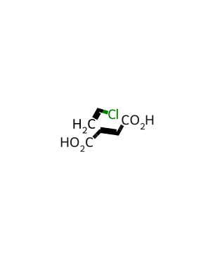 C=CCl.O=C(O)C=CC(=O)O